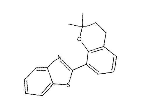 CC1(C)CCc2cccc(-c3nc4ccccc4s3)c2O1